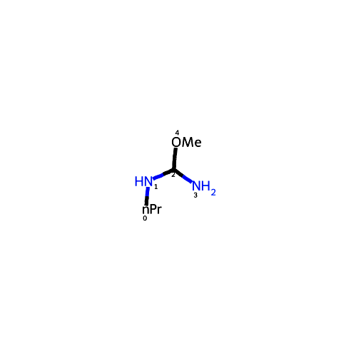 CCCNC(N)OC